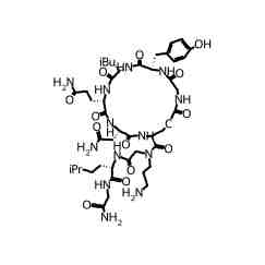 CC[C@H](C)[C@@H]1NC(=O)[C@H](Cc2ccc(O)cc2)NC(=O)CNC(=O)CC[C@@H](C(=O)N(CCCN)CC(=O)N[C@@H](CCC(C)C)C(=O)NCC(N)=O)NC(=O)[C@H](CC(N)=O)NC(=O)[C@H](CCC(N)=O)NC1=O